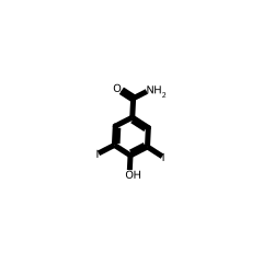 NC(=O)c1cc(I)c(O)c(I)c1